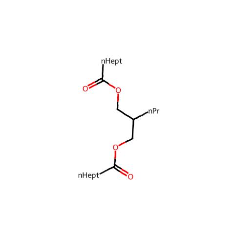 CCCCCCCC(=O)OCC(CCC)COC(=O)CCCCCCC